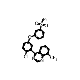 CC(C)S(=O)(=O)c1cccc(Oc2ccc(Cl)c(-c3ncnc4c(C(F)(F)F)cccc34)c2)c1